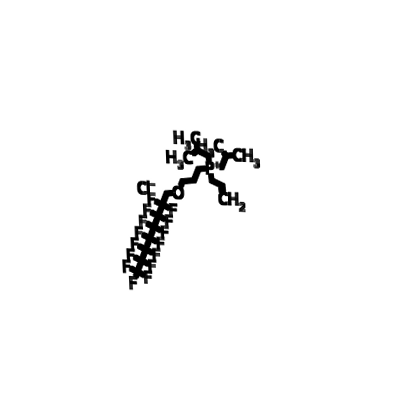 C=CC[P+](CCCOCC(F)(F)C(F)(F)C(F)(F)C(F)(F)C(F)(F)C(F)(F)C(F)(F)F)(CC(C)C)CC(C)C.[Cl-]